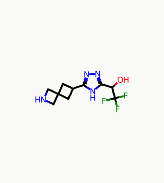 OC(c1nnc(C2CC3(CNC3)C2)[nH]1)C(F)(F)F